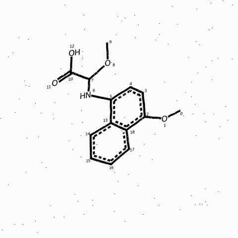 COc1ccc(NC(OC)C(=O)O)c2ccccc12